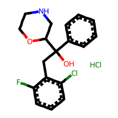 Cl.OC(Cc1c(F)cccc1Cl)(c1ccccc1)C1CNCCO1